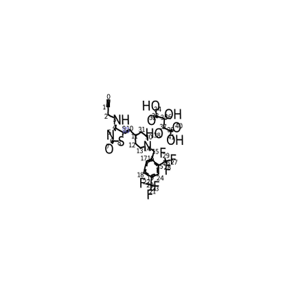 C#CCNC1=NC(=O)S/C1=C\C1CCN(Cc2ccc(C(F)(F)F)cc2C(F)(F)F)CC1.O=C(O)C(O)C(O)C(=O)O